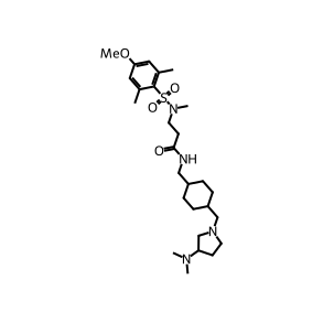 COc1cc(C)c(S(=O)(=O)N(C)CCC(=O)NCC2CCC(CN3CCC(N(C)C)C3)CC2)c(C)c1